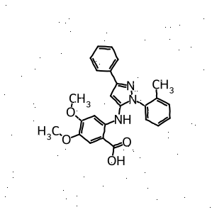 COc1cc(Nc2cc(-c3ccccc3)nn2-c2ccccc2C)c(C(=O)O)cc1OC